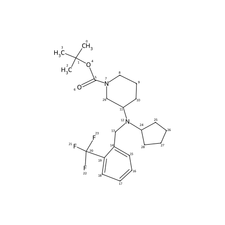 CC(C)(C)OC(=O)N1CCCC(N(Cc2ccccc2C(F)(F)F)C2CCCC2)C1